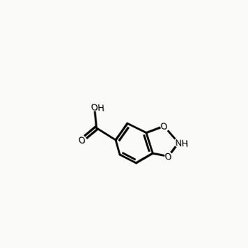 O=C(O)c1ccc2c(c1)ONO2